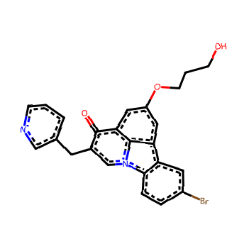 O=c1c(Cc2cccnc2)cn2c3ccc(Br)cc3c3cc(OCCCO)cc1c32